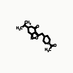 CC(=O)N1CCC(Cc2onc3c2C(=O)CC(C(C)C)C3)CC1